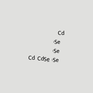 [Cd].[Cd].[Cd].[Se].[Se].[Se].[Se]